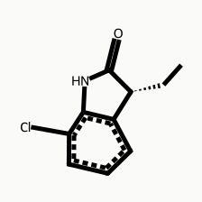 CC[C@H]1C(=O)Nc2c(Cl)cccc21